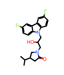 CC(C)C1CC(=O)N(CC(O)Cn2c3ccc(F)cc3c3cc(F)ccc32)C1